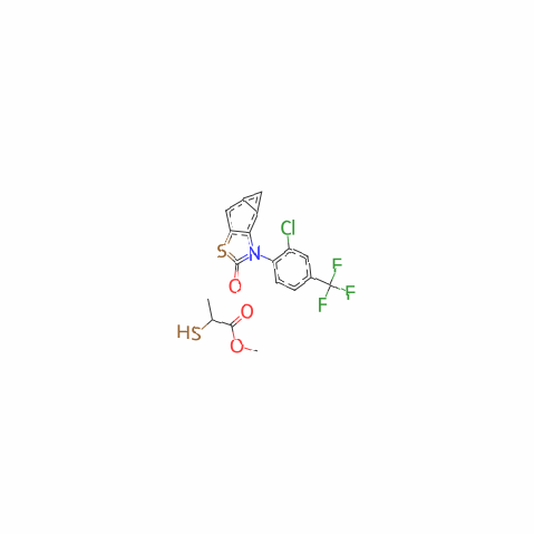 COC(=O)C(C)S.O=c1sc2cc3cc-3c2n1-c1ccc(C(F)(F)F)cc1Cl